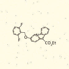 CCOC(=O)c1c2ccccc2n2cc(OCc3c(F)cccc3F)ccc12